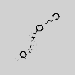 N#Cc1ccc(OP(=O)(O)CNS(=O)(=O)c2nnc(-c3ccc(OCCC[n+]4ccccc4)cc3)s2)cc1F